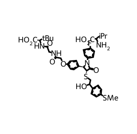 CC(C)C(N)C(=O)O.CSc1ccc(C(O)CS[C@H]2C(=O)N(c3ccc(F)cc3)[C@@H]2c2ccc(OCC(=O)NCC(=O)N[C@@H](C(=O)O)C(C)(C)C)cc2)cc1